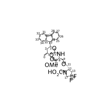 C=CCC(OC(=O)N[C@@H](COC[C@@H]1CC(F)(F)CN1C(=O)O)C(=O)OC)C1c2ccccc2-c2ccccc21